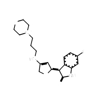 O=C1Nc2cc(F)ccc2/C1=C1\C=C(NCCCN2CCOCC2)CO1